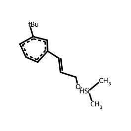 C[SiH](C)OCC=Cc1cccc(C(C)(C)C)c1